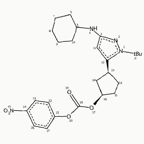 CC(C)(C)n1nc(NC2CCCCC2)cc1[C@H]1CC[C@@H](OC(=O)Oc2ccc([N+](=O)[O-])cc2)C1